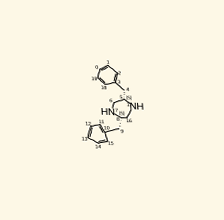 c1ccc(C[C@H]2CN[C@@H](Cc3ccccc3)CN2)cc1